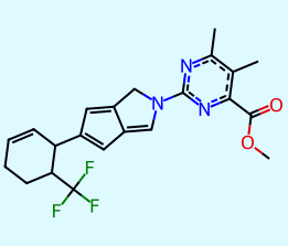 COC(=O)c1nc(N2C=C3C=C(C4C=CCCC4C(F)(F)F)C=C3C2)nc(C)c1C